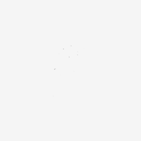 O=CCc1ccc(Br)c(C(F)(F)F)c1